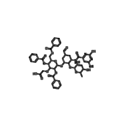 CC1OC(OC2C(NC(=O)c3cc(O)nc(O)n3)CC(C=O)CC2OC2OC(COC(=O)c3ccccc3)C(OC(=O)c3ccccc3)C(OCC(=O)O)C2OC(=O)c2ccccc2)C(O)=CC1O